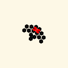 c1ccc(N(c2ccccc2)c2ccc3c(c2)N(c2ccccc2)c2cc(N(c4ccccc4)c4ccccc4)ccc2N3c2ccc3c4ccccc4c4ccc(N5c6ccc(N(c7ccccc7)c7ccccc7)cc6N(c6ccccc6)c6cc(N(c7ccccc7)c7ccccc7)ccc65)cc4c3c2)cc1